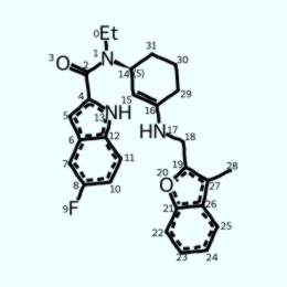 CCN(C(=O)c1cc2cc(F)ccc2[nH]1)[C@@H]1C=C(NCc2oc3ccccc3c2C)CCC1